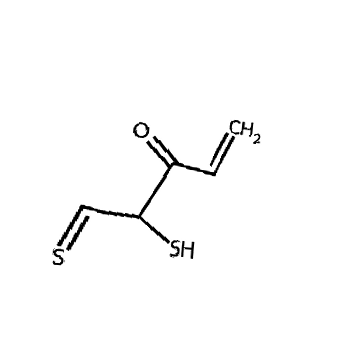 C=CC(=O)C(S)C=S